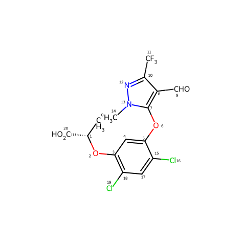 C[C@H](Oc1cc(Oc2c(C=O)c(C(F)(F)F)nn2C)c(Cl)cc1Cl)C(=O)O